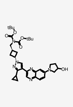 CC(C)(C)OC(=O)N(C[C@H]1C[C@H](n2cc(-c3cnc4ccc(N5CCC(O)C5)cc4n3)c(C3CC3)n2)C1)C(=O)OC(C)(C)C